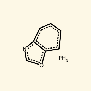 P.c1ccc2ocnc2c1